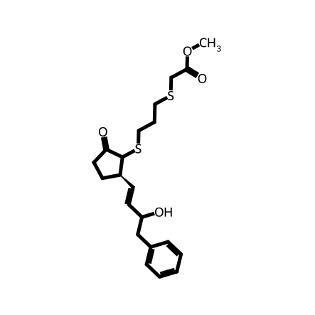 COC(=O)CSCCCSC1C(=O)CC[C@@H]1C=CC(O)Cc1ccccc1